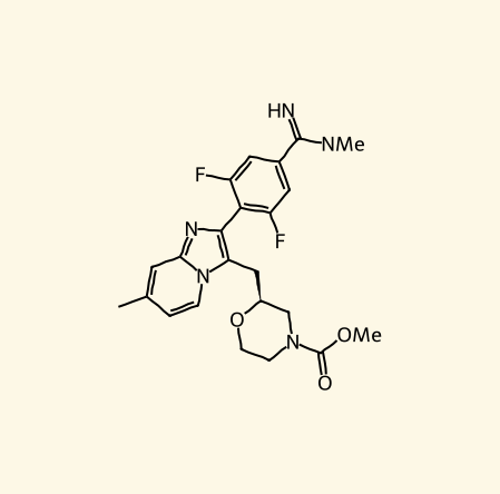 CNC(=N)c1cc(F)c(-c2nc3cc(C)ccn3c2C[C@H]2CN(C(=O)OC)CCO2)c(F)c1